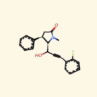 CN1C(=O)C[C@H](c2ccccc2)[C@@H]1C(O)C#Cc1ccccc1F